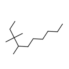 CCCCCCC(C)C(C)(C)CC